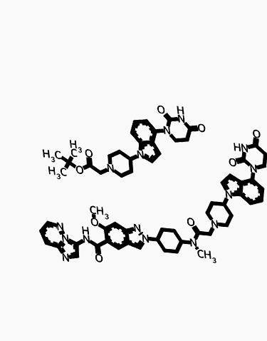 CC(C)(C)OC(=O)CN1CCC(n2ccc3c(N4CCC(=O)NC4=O)cccc32)CC1.COc1cc2nn(C3CCC(N(C)C(=O)CN4CCC(n5ccc6c(N7CCC(=O)NC7=O)cccc65)CC4)CC3)cc2cc1C(=O)Nc1cnc2cccnn12